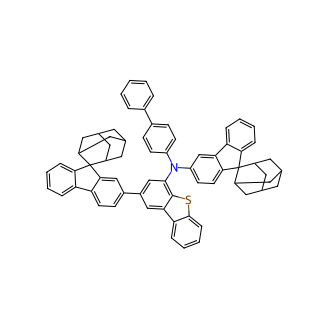 c1ccc(-c2ccc(N(c3ccc4c(c3)-c3ccccc3C43C4CC5CC(C4)CC3C5)c3cc(-c4ccc5c(c4)C4(c6ccccc6-5)C5CC6CC(C5)CC4C6)cc4c3sc3ccccc34)cc2)cc1